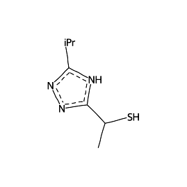 CC(C)c1nnc(C(C)S)[nH]1